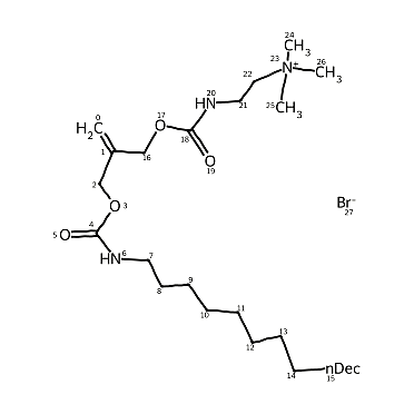 C=C(COC(=O)NCCCCCCCCCCCCCCCCCC)COC(=O)NCC[N+](C)(C)C.[Br-]